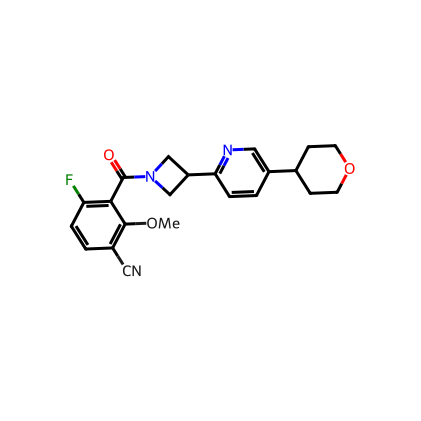 COc1c(C#N)ccc(F)c1C(=O)N1CC(c2ccc(C3CCOCC3)cn2)C1